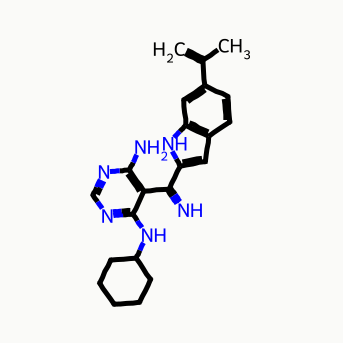 C=C(C)c1ccc2cc(C(=N)c3c(N)ncnc3NC3CCCCC3)[nH]c2c1